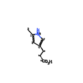 Cc1cc(CCC(=O)O)[c][nH]1